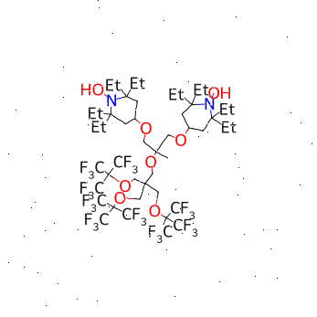 CCC1(CC)CC(OCC(C)(COC2CC(CC)(CC)N(O)C(CC)(CC)C2)OCC(COC(C(F)(F)F)(C(F)(F)F)C(F)(F)F)(COC(C(F)(F)F)(C(F)(F)F)C(F)(F)F)COC(C(F)(F)F)(C(F)(F)F)C(F)(F)F)CC(CC)(CC)N1O